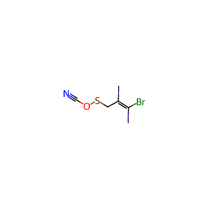 N#COSCC(I)=C(Br)I